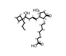 CCCC1(C(O)CC=C[C@H]2[C@H](O)CC(=O)[C@@H]2SCCCSCC(=O)O)CCC1